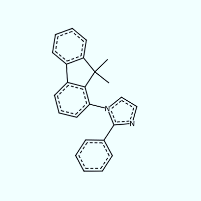 CC1(C)c2ccccc2-c2cccc(-n3ccnc3-c3ccccc3)c21